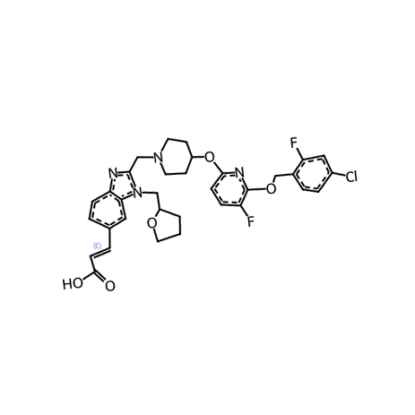 O=C(O)/C=C/c1ccc2nc(CN3CCC(Oc4ccc(F)c(OCc5ccc(Cl)cc5F)n4)CC3)n(CC3CCCO3)c2c1